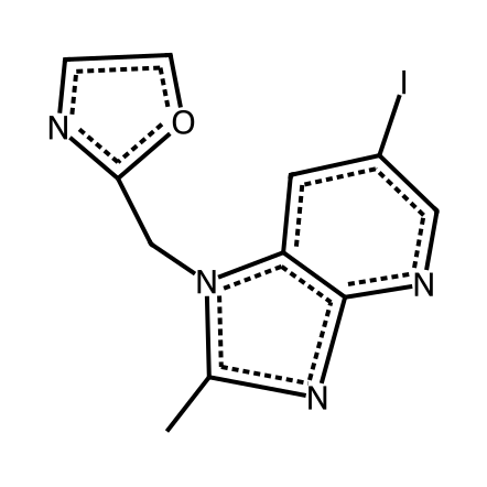 Cc1nc2ncc(I)cc2n1Cc1ncco1